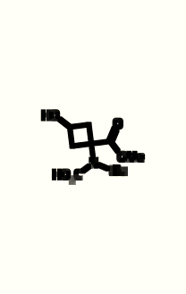 COC(=O)C1(N(C(=O)O)C(C)(C)C)CC(O)C1